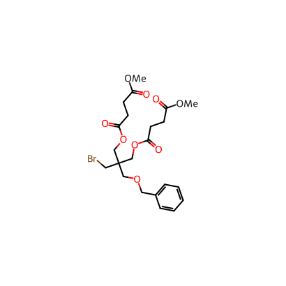 COC(=O)CCC(=O)OCC(CBr)(COCc1ccccc1)COC(=O)CCC(=O)OC